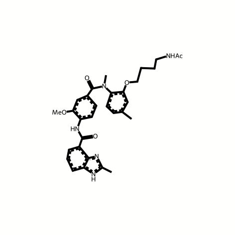 COc1cc(C(=O)N(C)c2ccc(C)cc2OCCCCNC(C)=O)ccc1NC(=O)c1cccc2[nH]c(C)nc12